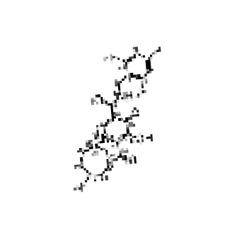 Cc1cc(F)c(CNC(=O)c2cn3c(c(O)c2=O)C(=O)N2CC(F)CC[C@H]3C2)c(F)c1